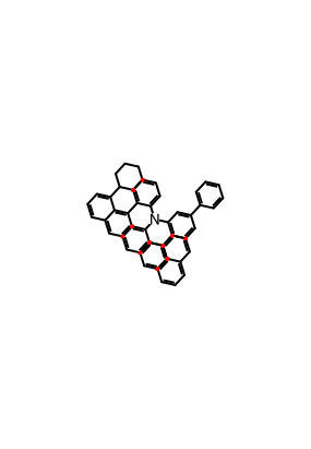 c1ccc(-c2ccc(-c3ccccc3)c(N(c3ccccc3-c3cccc4ccccc34)c3ccccc3-c3cccc4cccc(C5CCCCC5)c34)c2)cc1